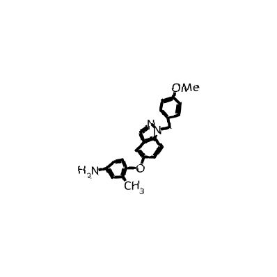 COc1ccc(Cn2ncc3cc(Oc4ccc(N)cc4C)ccc32)cc1